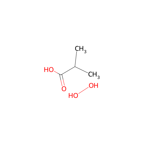 CC(C)C(=O)O.OO